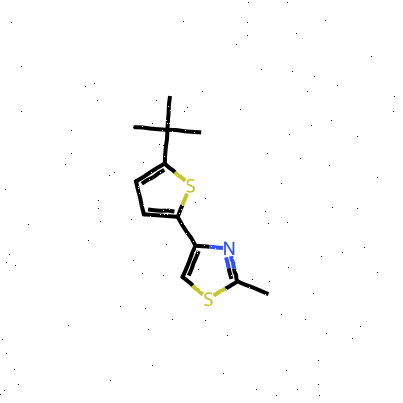 Cc1nc(-c2ccc(C(C)(C)C)s2)cs1